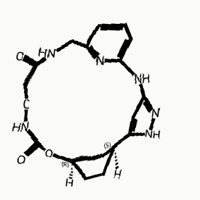 O=C1CCNC(=O)O[C@@H]2CC[C@@H](C2)c2cc(n[nH]2)Nc2cccc(n2)CN1